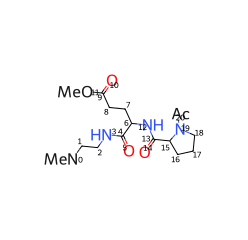 CNCCNC(=O)C(CCC(=O)OC)NC(=O)C1CCCN1C(C)=O